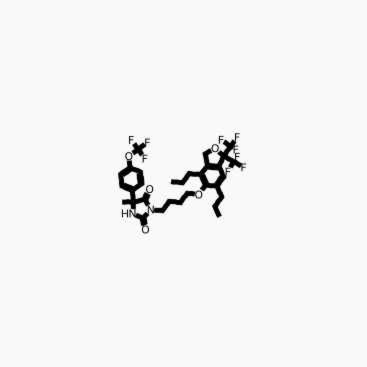 CCCc1cc2c(c(CCC)c1OCCCCN1C(=O)NC(C)(c3ccc(OC(F)(F)F)cc3)C1=O)COC2(C(F)(F)F)C(F)(F)F